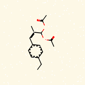 CCc1ccc(C=C(C)C(OC(C)=O)OC(C)=O)cc1